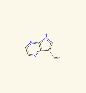 CNc1c[nH]c2nccnc12